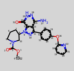 CC(C)(C)OC(=O)N1CCCC(n2nc(-c3ccc(Oc4ccccn4)cc3)c3c(N)n[nH]c(=O)c32)C1